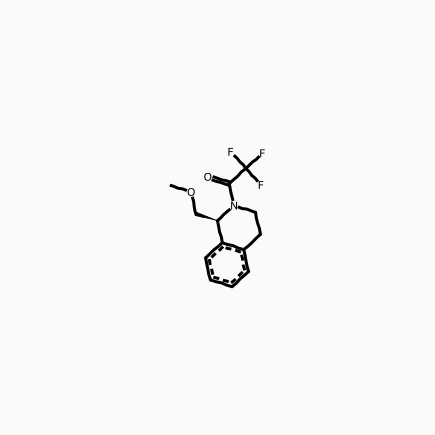 COC[C@@H]1c2ccccc2CCN1C(=O)C(F)(F)F